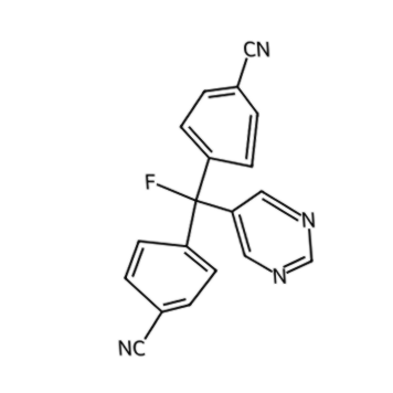 N#Cc1ccc(C(F)(c2ccc(C#N)cc2)c2cncnc2)cc1